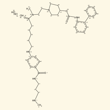 CNCCCNC(=O)c1ccc(NCCCCCC(=O)N(C)CCN2CCC(OC(=O)Nc3ccccc3-c3ccccc3)CC2)cc1.Cl.Cl.Cl